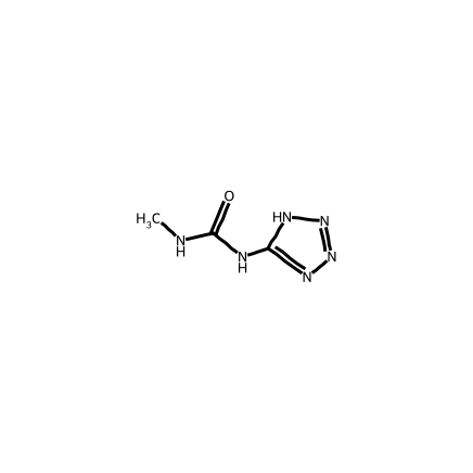 CNC(=O)Nc1nnn[nH]1